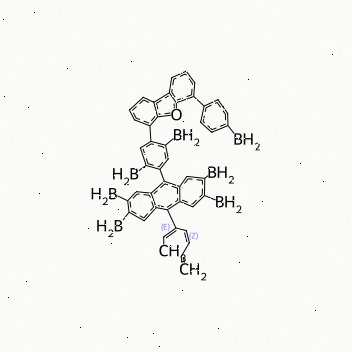 Bc1ccc(-c2cccc3c2oc2c(-c4cc(B)c(-c5c6cc(B)c(B)cc6c(C(/C=C\C=C)=C/C)c6cc(B)c(B)cc56)cc4B)cccc23)cc1